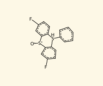 [O-][S+]1c2cc(F)ccc2[SH](c2ccccc2)c2ccc(F)cc21